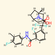 Cc1cc(NC(=O)c2cccc(C(F)(F)C(=O)N3C4CC[C@@H]3C[C@@H](O)C4)c2F)ccc1F